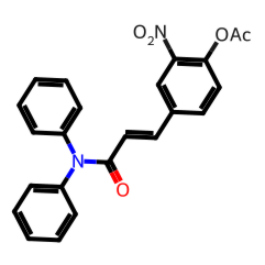 CC(=O)Oc1ccc(C=CC(=O)N(c2ccccc2)c2ccccc2)cc1[N+](=O)[O-]